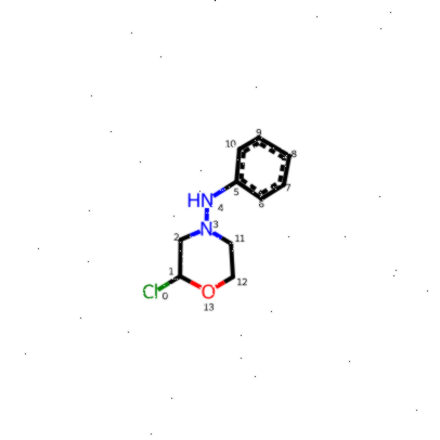 ClC1CN(Nc2ccccc2)CCO1